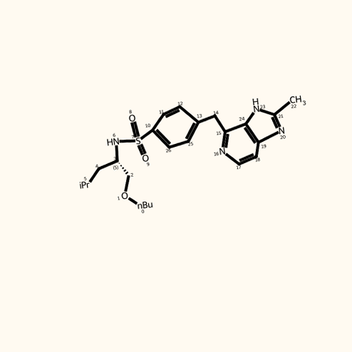 CCCCOC[C@H](CC(C)C)NS(=O)(=O)c1ccc(Cc2nccc3nc(C)[nH]c23)cc1